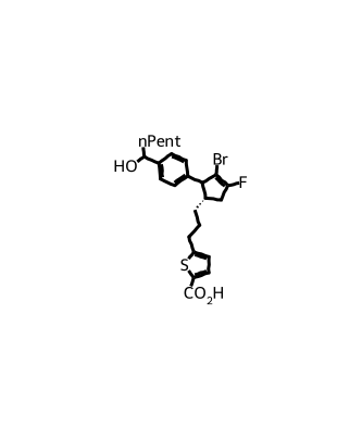 CCCCCC(O)c1ccc(C2C(Br)=C(F)C[C@@H]2CCCc2ccc(C(=O)O)s2)cc1